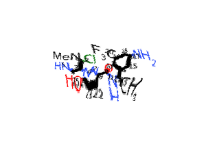 CN/C(Cl)=C(\C=N)N1N=C(C(=O)N[C@H](C)c2cc(N)cc(C(F)(F)F)c2)C=CC1O